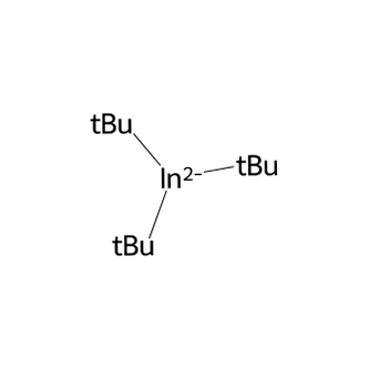 C[C](C)(C)[In-2]([C](C)(C)C)[C](C)(C)C